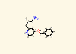 C[C@H](CN)Cc1cc(OCc2ccccc2)ccn1